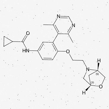 Cc1ncnc(C)c1-c1cc(NC(=O)C2CC2)ccc1OCCN1C[C@@H]2C[C@H]1CO2